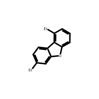 CCc1ccc2c(c1)oc1cccc(CC)c12